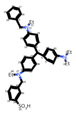 CCN(CC)c1ccc(C(c2ccc(N(CC)Cc3ccccc3)cc2)c2ccc(N(CC)Cc3cccc(S(=O)(=O)O)c3)cc2)cc1